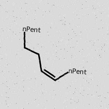 [CH2]CCCC/C=C\CCCCCCC